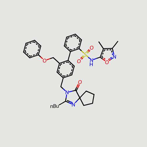 CCCCC1=NC2(CCCC2)C(=O)N1Cc1ccc(-c2ccccc2S(=O)(=O)Nc2onc(C)c2C)c(COc2ccccc2)c1